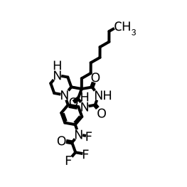 CCCCCCCCC1(C2CNCCN2c2ccc(N(F)C(=O)C(F)F)cc2)C(=O)NC(=O)NC1=O